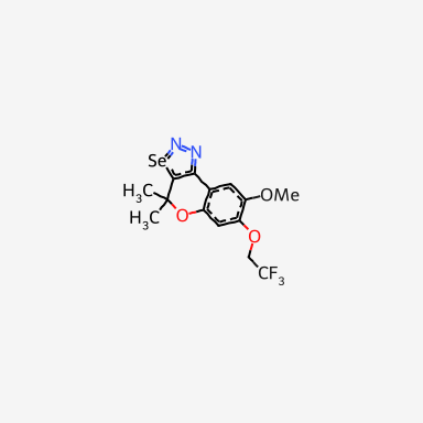 COc1cc2c(cc1OCC(F)(F)F)OC(C)(C)c1[se]nnc1-2